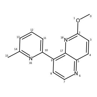 COc1ccc2nccc(-c3cccc(C)n3)c2n1